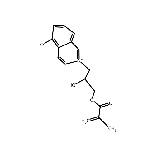 C=C(C)C(=O)OCC(O)C[n+]1ccc2c([O-])cccc2c1